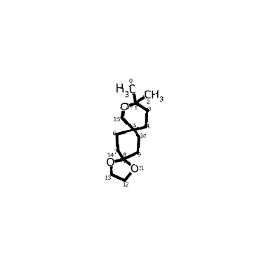 CC1(C)CCC2(CCC3(CC2)OCCO3)CO1